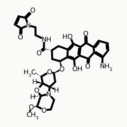 CO[C@H]1OCCN2[C@@H]1O[C@@H]1[C@H](C)O[C@@H](O[C@H]3C[C@H](C(=O)NCCN4C(=O)C=CC4=O)Cc4c(O)c5c(c(O)c43)C(=O)c3c(N)cccc3C5=O)C[C@@H]12